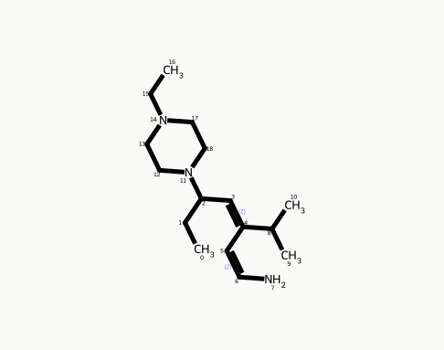 CCC(/C=C(\C=C/N)C(C)C)N1CCN(CC)CC1